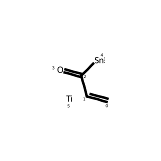 C=C[C](=O)[Sn].[Ti]